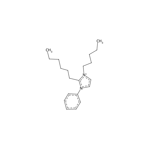 CCCCCCc1n(-c2ccccc2)cc[n+]1CCCCC